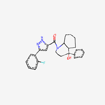 O=C(c1cc(-c2ccccc2F)n[nH]1)N1CCC(O)(c2ccccc2)C2CCCCC21